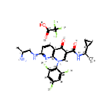 C[C@H](N)CNc1ccc2c(=O)c(C(=O)N[C@@H](C3CC3)C(F)(F)F)cn(-c3c(F)cc(F)cc3F)c2n1.O=C(O)C(F)(F)F